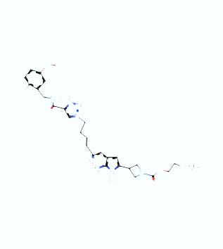 COCCOC(=O)N1CC(c2cc3cc(CCCCn4cc(C(=O)NCc5cc(OC(F)(F)F)ccc5F)nn4)nnc3[nH]2)C1